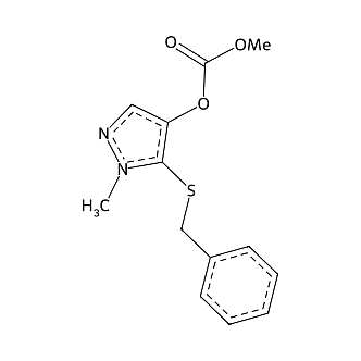 COC(=O)Oc1cnn(C)c1SCc1ccccc1